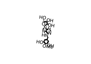 COc1c(O)cc(CNc2ncnc3c2ncn3C2O[C@H](CO)[C@@H](O)[C@H]2O)cc1O